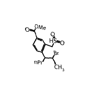 CCCC(c1ccc(C(=O)OC)cc1C[SH](=O)=O)C(C)Br